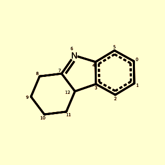 c1ccc2c(c1)N=C1CCCCC12